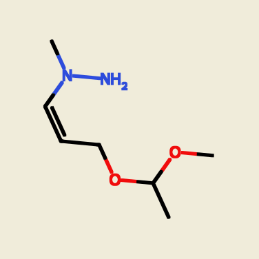 COC(C)OC/C=C\N(C)N